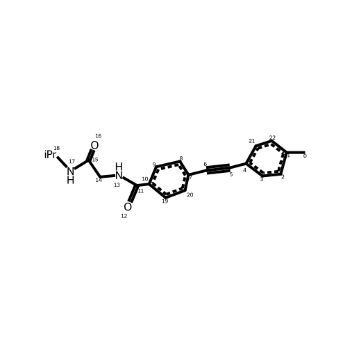 Cc1ccc(C#Cc2ccc(C(=O)NCC(=O)NC(C)C)cc2)cc1